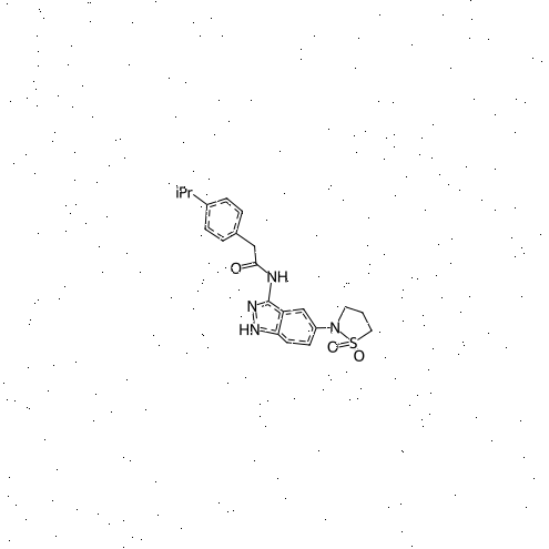 CC(C)c1ccc(CC(=O)Nc2n[nH]c3ccc(N4CCCS4(=O)=O)cc23)cc1